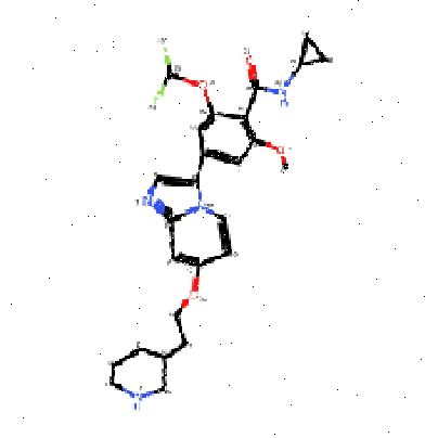 COc1cc(-c2cnc3cc(OCCC4CCCNC4)ccn23)cc(OC(F)F)c1C(=O)NC1CC1